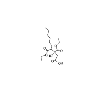 CCCCCCC(C(=O)OCC)C(O)(CC(=O)O)C(=O)OCC